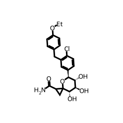 CCOc1ccc(Cc2cc([C@@H]3OC4(CC4C(N)=O)[C@@H](O)[C@H](O)[C@H]3O)ccc2Cl)cc1